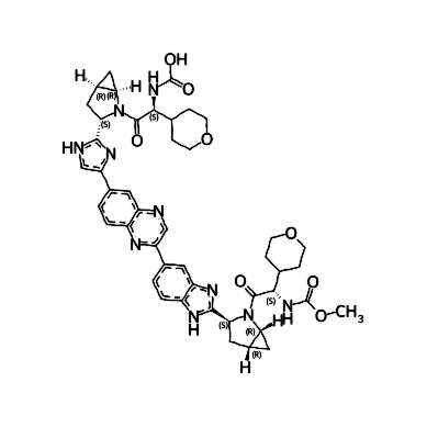 COC(=O)N[C@H](C(=O)N1[C@@H]2C[C@@H]2C[C@H]1c1nc2cc(-c3cnc4cc(-c5c[nH]c([C@@H]6C[C@H]7C[C@H]7N6C(=O)[C@@H](NC(=O)O)C6CCOCC6)n5)ccc4n3)ccc2[nH]1)C1CCOCC1